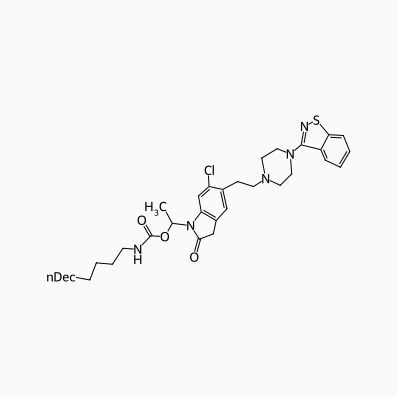 CCCCCCCCCCCCCCNC(=O)OC(C)N1C(=O)Cc2cc(CCN3CCN(c4nsc5ccccc45)CC3)c(Cl)cc21